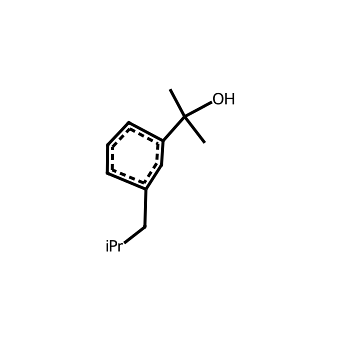 CC(C)Cc1cccc(C(C)(C)O)c1